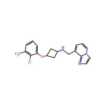 FC(F)(F)c1cccc(OC2CC(NCc3cccn4ccnc34)C2)c1Cl